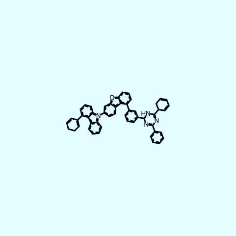 C1=CCC(C2=NC(c3ccccc3)=NC(c3cccc(-c4cccc5oc6cc(-n7c8ccccc8c8c(C9=CCCC=C9)cccc87)ccc6c45)c3)N2)C=C1